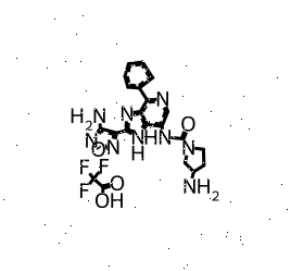 Nc1nonc1-c1nc2c(-c3ccccc3)ncc(NC(=O)N3CCC(N)C3)c2[nH]1.O=C(O)C(F)(F)F